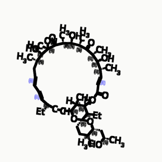 CC[C@@H]1/C=C/C=C/C[C@H](C)[C@@H](O)[C@](C)(O)C(=O)[C@H](C)[C@@H](O)[C@H](C)C(=O)[C@H](C)[C@@H](O)[C@H](C)/C=C/C(=O)O[C@H]2[C@@H](C)[C@@H](CC1)O[C@@]1(CC[C@@H](C)[C@@H](C[C@H](C)O)O1)[C@@H]2CC